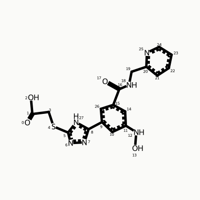 O=C(O)CSc1nnc(-c2cc(NO)cc(C(=O)NCc3ccccn3)c2)[nH]1